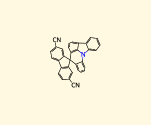 N#Cc1ccc2c(c1)C1(c3cc(C#N)ccc3-2)c2ccccc2-n2c3ccccc3c3cccc1c32